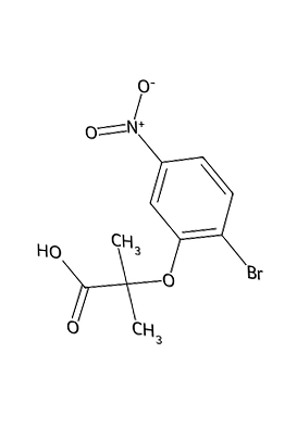 CC(C)(Oc1cc([N+](=O)[O-])ccc1Br)C(=O)O